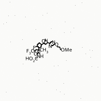 COCCCOc1cnc(-c2cc(-c3ccc(F)c([C@]4(C)C[C@@H](C(F)(F)F)OC(NC(=O)O)=N4)c3)on2)cn1